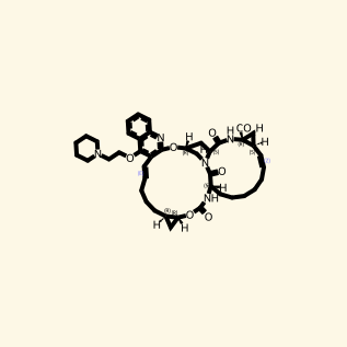 O=C1N[C@H]2CCCCC/C=C\[C@@H]3C[C@@]3(C(=O)O)NC(=O)[C@@H]3C[C@H](CN3C2=O)Oc2nc3ccccc3c(OCCN3CCCCC3)c2/C=C/CCC[C@@H]2C[C@H]2O1